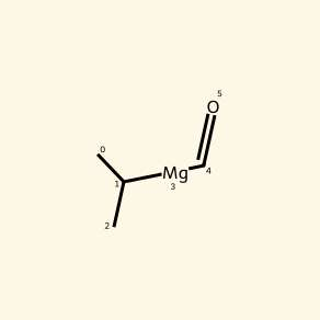 C[CH](C)[Mg][CH]=O